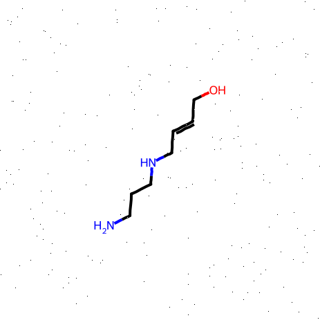 NCCCNCC=CCO